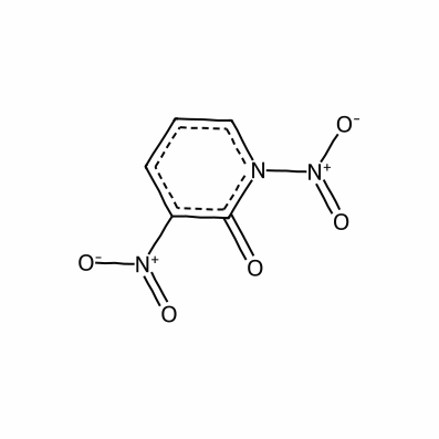 O=c1c([N+](=O)[O-])cccn1[N+](=O)[O-]